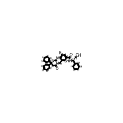 C#C[C@H](NC(=O)c1cc(F)cc(CN2C(=N)NC(c3ccccc3)(c3ccccc3)CC2=O)c1)c1ccccc1